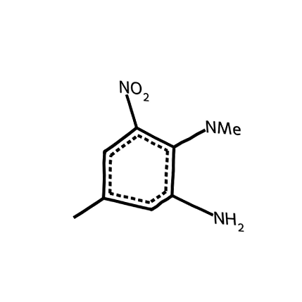 CNc1c(N)cc(C)cc1[N+](=O)[O-]